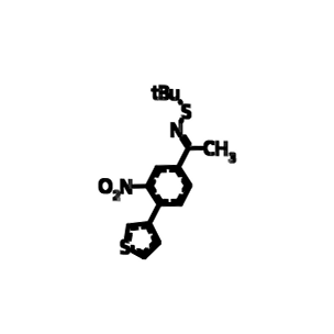 CC(=NSC(C)(C)C)c1ccc(-c2ccsc2)c([N+](=O)[O-])c1